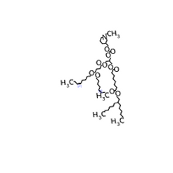 CC/C=C\CCCCOC(CCC(=O)OCC(COC(=O)CCCCCCC(=O)OCCC(CCCCCC)CCCCCC)COC(=O)OCC1CCCN(CC)C1)OCCCC/C=C\CC